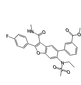 CCN(c1cc2oc(-c3ccc(F)cc3)c(C(=O)NC)c2cc1-c1cccc(C(=O)OC)c1)S(C)(=O)=O